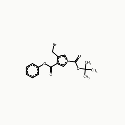 CC(C)(C)OC(=O)n1cc(CBr)c(C(=O)Oc2ccccc2)c1